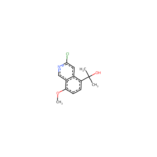 COc1ccc(C(C)(C)O)c2cc(Cl)ncc12